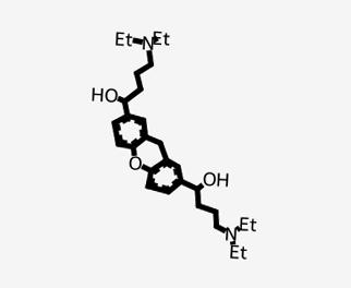 CCN(CC)CCCC(O)c1ccc2c(c1)Cc1cc(C(O)CCCN(CC)CC)ccc1O2